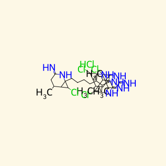 CC1CC(=N)NC2(CCCCC(C(CC34NC(=N)CC(C)C3C4Cl)C34NC(=N)CC(C)C3C4Cl)C34NC(=N)CC(C)C3C4Cl)C(Cl)C12.Cl